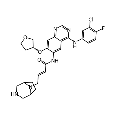 O=C(/C=C/CN1C2CCC1CNC2)Nc1cc2c(Nc3ccc(F)c(Cl)c3)ncnc2cc1O[C@H]1CCOC1